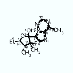 CC[C@H]1OC(O)(c2cnc3c(C)ncnn23)[C@](C)(F)[C@@H]1C